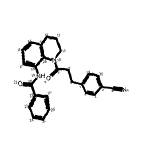 N#Cc1ccc(CCC(=O)N2CCCc3cccc(NC(=O)c4ccccc4)c32)cc1